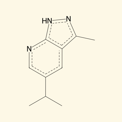 Cc1n[nH]c2ncc(C(C)C)cc12